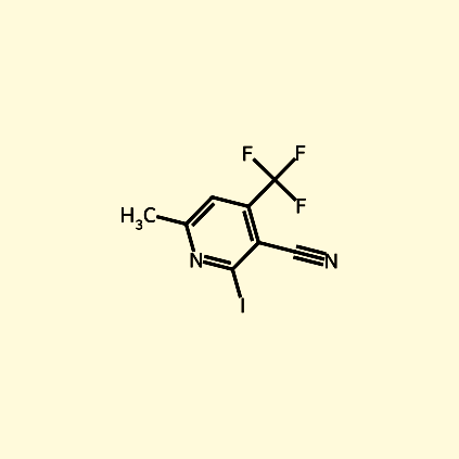 Cc1cc(C(F)(F)F)c(C#N)c(I)n1